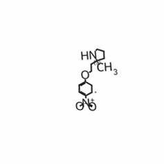 C[C@@]1(CCOC2=CC=C([N+](=O)[O-])[CH]C2)CCCN1